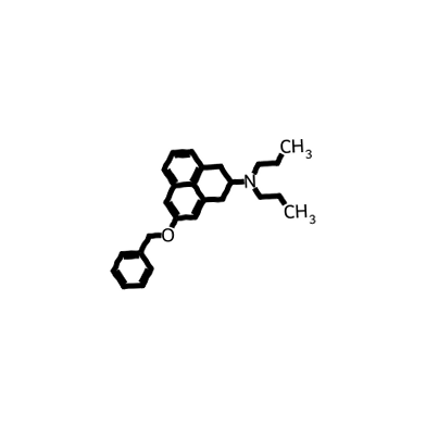 CCCN(CCC)C1Cc2cccc3cc(OCc4ccccc4)cc(c23)C1